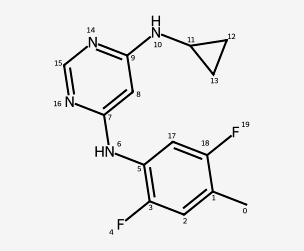 Cc1cc(F)c(Nc2cc(NC3CC3)ncn2)cc1F